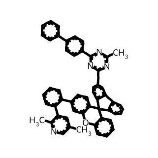 Cc1cnc(C)c(-c2ccccc2-c2ccc3c(c2)Oc2ccccc2C32c3ccccc3-c3cc(-c4nc(C)nc(-c5ccc(-c6ccccc6)cc5)n4)ccc32)c1